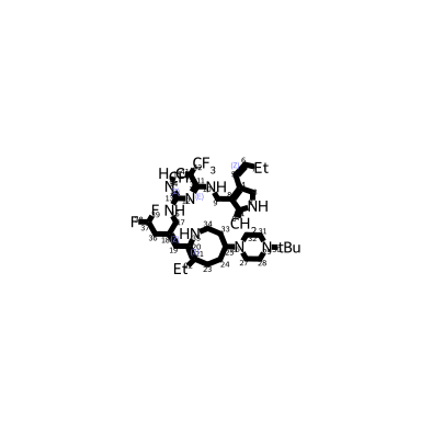 C=C1NCC(/C=C\CC)=C1CN/C(=N/C(=N\C)NC/C(=C\C1=C(/CC)CCC(N2CCN(C(C)(C)C)CC2)CCN1)CC(F)F)C(C)C(F)(F)F